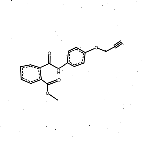 C#CCOc1ccc(NC(=O)c2ccccc2C(=O)OC)cc1